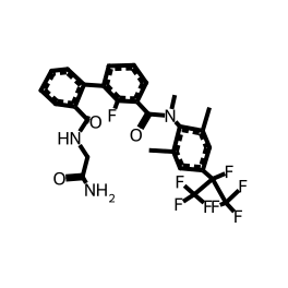 Cc1cc(C(F)(C(F)(F)F)C(F)(F)F)cc(C)c1N(C)C(=O)c1cccc(-c2ccccc2C(=O)NCC(N)=O)c1F